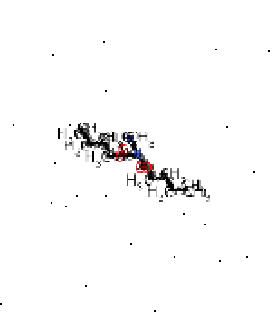 CC(C)CCCC(C)CCCC(C)CCCC(C)CCOC(=O)CCCN(CCCCN(C)C)CCCC(=O)OCCC(C)CCCC(C)CCCC(C)CCCC(C)C